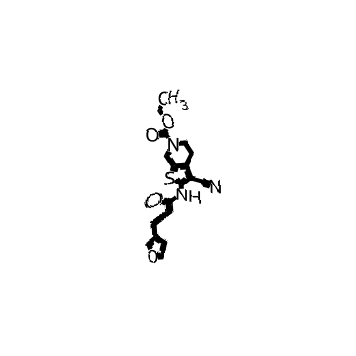 CCOC(=O)N1CCc2c(sc(NC(=O)C=Cc3ccoc3)c2C#N)C1